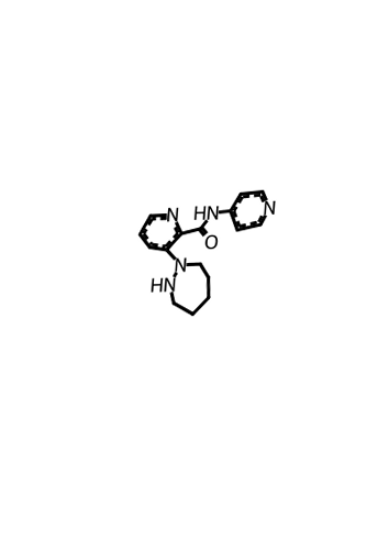 O=C(Nc1ccncc1)c1ncccc1N1CCCCCN1